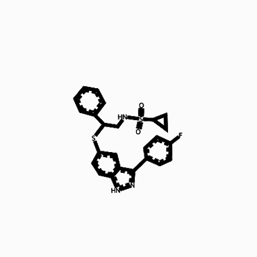 O=S(=O)(NCC(Sc1ccc2[nH]nc(-c3ccc(F)cc3)c2c1)c1ccccc1)C1CC1